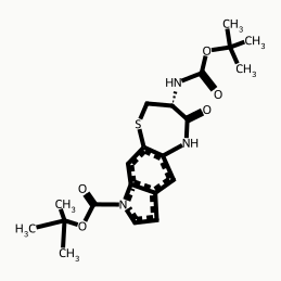 CC(C)(C)OC(=O)N[C@H]1CSc2cc3c(ccn3C(=O)OC(C)(C)C)cc2NC1=O